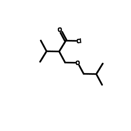 CC(C)COCC(C(=O)Cl)C(C)C